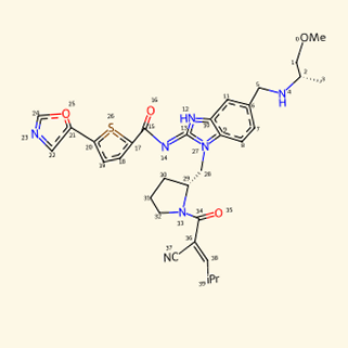 COC[C@H](C)NCc1ccc2c(c1)[nH]/c(=N\C(=O)c1ccc(-c3cnco3)s1)n2C[C@H]1CCCN1C(=O)/C(C#N)=C/C(C)C